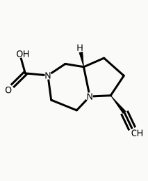 C#C[C@@H]1CC[C@H]2CN(C(=O)O)CCN21